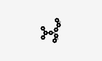 c1ccc(-c2cc(-c3ccccc3)cc(-c3ccc(N(c4ccc(-c5ccc6oc7ccccc7c6c5)cc4)c4ccc5oc6ccccc6c5c4)cc3)c2)cc1